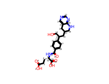 O=C(O)CC[C@H](NC(=O)c1ccc(C(CO)CC2CNc3ncncc3C2)cc1)C(=O)O